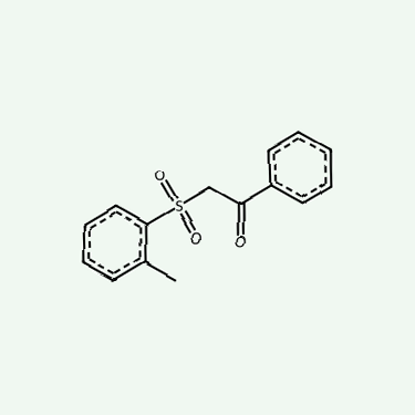 Cc1ccccc1S(=O)(=O)CC(=O)c1ccccc1